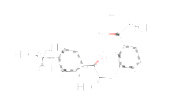 CC(C)C(=O)c1cccc(CC(C)C(=O)c2ccc(C(C)(C)C)cc2)c1